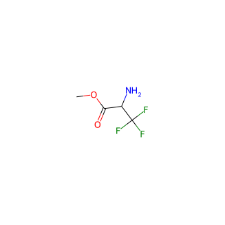 COC(=O)C(N)C(F)(F)F